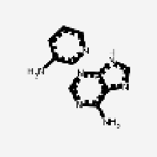 Nc1cccnc1.Nc1ncnc2[nH]cnc12